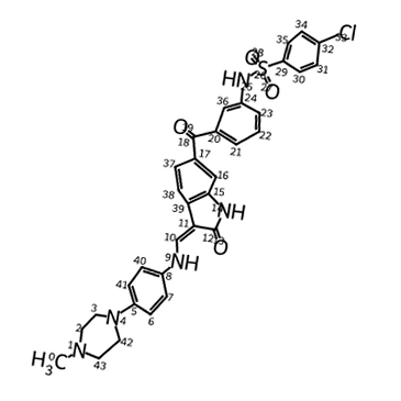 CN1CCN(c2ccc(NC=C3C(=O)Nc4cc(C(=O)c5cccc(NS(=O)(=O)c6ccc(Cl)cc6)c5)ccc43)cc2)CC1